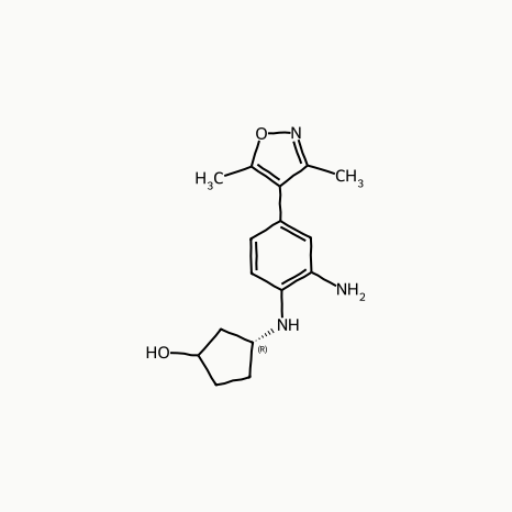 Cc1noc(C)c1-c1ccc(N[C@@H]2CCC(O)C2)c(N)c1